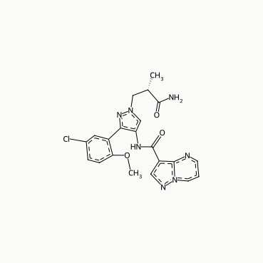 COc1ccc(Cl)cc1-c1nn(C[C@H](C)C(N)=O)cc1NC(=O)c1cnn2cccnc12